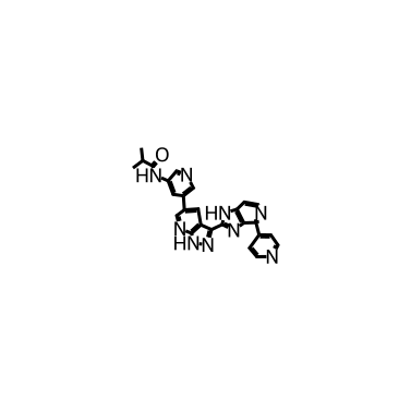 CC(C)C(=O)Nc1cncc(-c2cnc3[nH]nc(-c4nc5c(-c6ccncc6)nccc5[nH]4)c3c2)c1